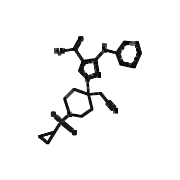 N#CCC1(n2cc(C(N)=O)c(Nc3ccccc3)n2)CCN(S(=O)(=O)C2CC2)CC1